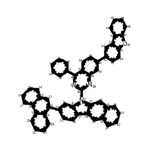 c1ccc(-c2nc(-n3c4cc(-c5cc6ccccc6c6ccccc56)ccc4c4cc5ccccc5cc43)nc3cc(-c4ccc5oc6ccccc6c5c4)ccc23)cc1